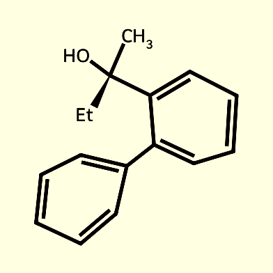 CC[C@](C)(O)c1ccccc1-c1ccccc1